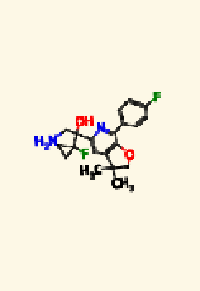 CC1(C)COc2c1cc(C(O)(CN)C1(F)CC1)nc2-c1ccc(F)cc1